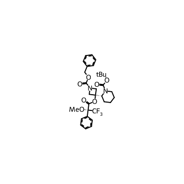 CO[C@@](C(=O)OC1([C@H]2CCCCN2C(=O)OC(C)(C)C)CN(C(=O)OCc2ccccc2)C1)(c1ccccc1)C(F)(F)F